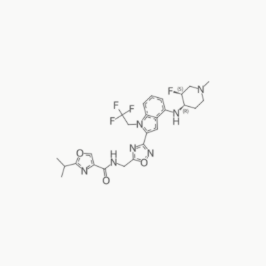 CC(C)c1nc(C(=O)NCc2nc(-c3cc4c(N[C@@H]5CCN(C)C[C@@H]5F)cccc4n3CC(F)(F)F)no2)co1